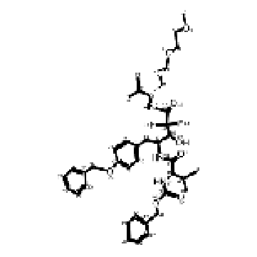 COCCOCOC[C@H](NC(=O)C(F)(F)C(O)C(Cc1ccc(OCc2ccccc2)cc1)NC(=O)[C@@H](NC(=O)OCc1ccccc1)C(C)C)C(C)C